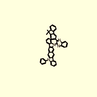 CC1(C)c2ccccc2-c2cc(-c3nc4ccccc4nc3-n3c4ccccc4c4cc5cc6c(cc5cc43)c3ccccc3n6-c3ccccc3)ccc21